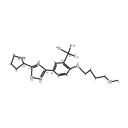 COCCCCOc1ccc(-c2noc(C3CCCN3)n2)cc1C(F)(F)F